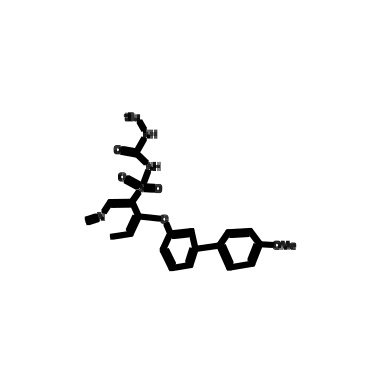 C=N/C=C(\C(=C/C)Oc1cccc(-c2ccc(OC)cc2)c1)S(=O)(=O)NC(=O)NC(C)(C)C